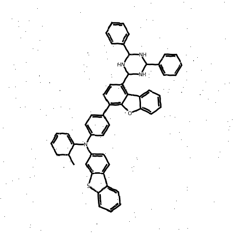 CC1CC=CC=C1N(c1ccc(-c2ccc(C3NC(c4ccccc4)NC(c4ccccc4)N3)c3c2oc2ccccc23)cc1)c1ccc2c(c1)sc1ccccc12